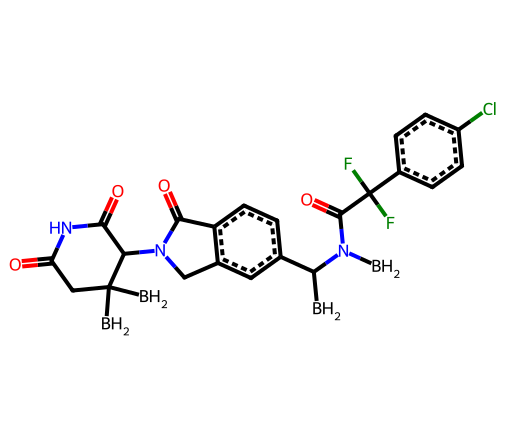 BC(c1ccc2c(c1)CN(C1C(=O)NC(=O)CC1(B)B)C2=O)N(B)C(=O)C(F)(F)c1ccc(Cl)cc1